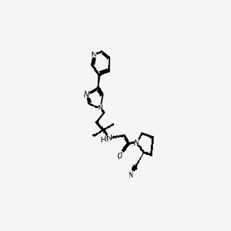 CC(C)(CCn1cnc(-c2cccnc2)c1)NCC(=O)N1CCC[C@H]1C#N